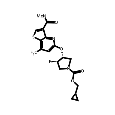 CNC(=O)c1csc2c(C(F)(F)F)cc(O[C@@H]3CN(C(=O)OCC4CC4)C[C@H]3F)nc12